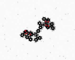 c1cc(-c2nc(-n3c4ccccc4c4ccccc43)nc(-n3c4ccccc4c4cc(-c5ccc(-c6nc(-c7cccc(-n8c9ccccc9c9ccc(-n%10c%11ccccc%11c%11ccccc%11%10)c(-n%10c%11ccccc%11c%11ccccc%11%10)c98)c7)nc(-n7c8ccccc8c8ccccc87)n6)cc5)ccc43)n2)cc(-n2c3ccccc3c3cccc(-n4c5ccccc5c5ccccc54)c32)c1